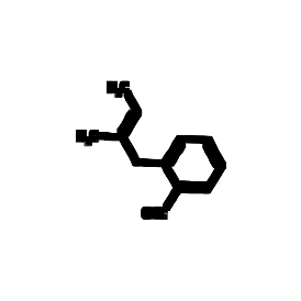 CC=C(C)Cc1ccccc1C=O